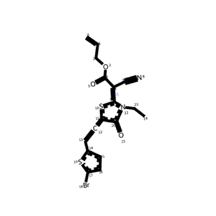 C=CCOC(=O)/C(C#N)=c1\sc(=C=Cc2ccc(Br)s2)c(=O)n1CC